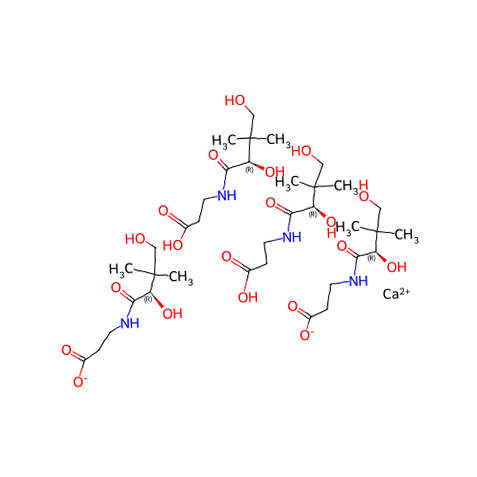 CC(C)(CO)[C@@H](O)C(=O)NCCC(=O)O.CC(C)(CO)[C@@H](O)C(=O)NCCC(=O)O.CC(C)(CO)[C@@H](O)C(=O)NCCC(=O)[O-].CC(C)(CO)[C@@H](O)C(=O)NCCC(=O)[O-].[Ca+2]